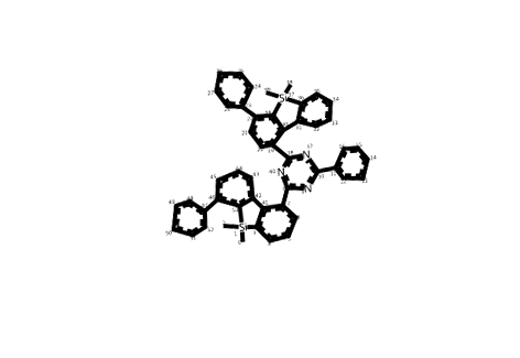 C[Si]1(C)c2cccc(-c3nc(-c4ccccc4)nc(-c4ccc(-c5ccccc5)c5c4-c4ccccc4[Si]5(C)C)n3)c2-c2cccc(-c3ccccc3)c21